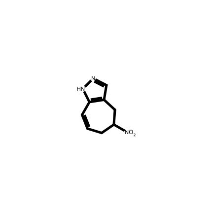 O=[N+]([O-])C1CC=Cc2[nH]ncc2C1